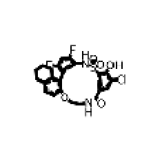 O=C1NCCOc2ccc3c(c2-c2cc(c(F)cc2F)NS(=O)(=O)c2cc1cc(Cl)c2O)CCCC3